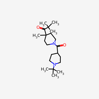 CC(C)(C)C(=O)C1(C)CCN(C(=O)C2CCN(C(C)(C)C)CC2)CC1